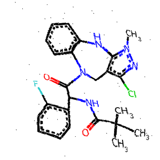 Cn1nc(Cl)c2c1Nc1ccccc1N(C(=O)C(NC(=O)C(C)(C)C)c1ccccc1F)C2